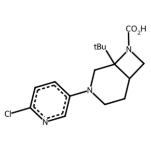 CC(C)(C)C12CN(c3ccc(Cl)nc3)CCC1CN2C(=O)O